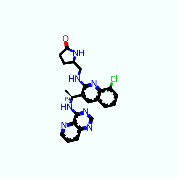 C[C@H](Nc1ncnc2cccnc12)c1cc2cccc(Cl)c2nc1NCC1CCC(=O)N1